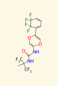 CC(NC(=O)NC1=COC(C2=CC=CC(F)(F)C2(F)F)=CO1)(C(F)(F)F)C(F)(F)F